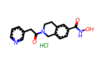 Cl.O=C(NO)c1ccc2c(c1)CCN(C(=O)Cc1cccnc1)C2